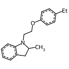 CCc1ccc(OCCN2c3ccccc3CC2C)cc1